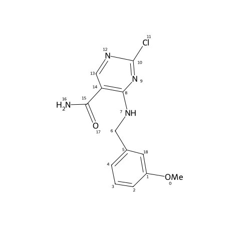 COc1cccc(CNc2nc(Cl)ncc2C(N)=O)c1